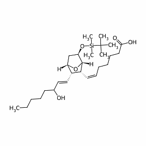 CCCCCC(O)C=C[C@H]1[C@@H](/C=C\CCCCC(=O)O)[C@@H]2O[C@H]1C[C@H]2O[Si](C)(C)C(C)(C)C